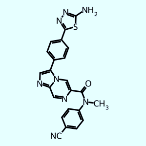 CN(C(=O)c1cn2c(-c3ccc(-c4nnc(N)s4)cc3)cnc2cn1)c1ccc(C#N)cc1